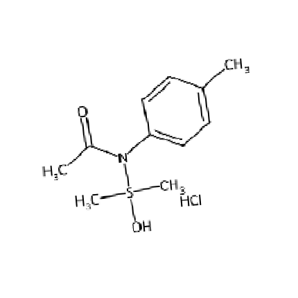 CC(=O)N(c1ccc(C)cc1)S(C)(C)O.Cl